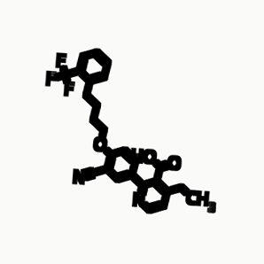 CCc1ccnc(-c2ccc(OCCCCc3ccccc3C(F)(F)F)c(C#N)c2)c1C(=O)O